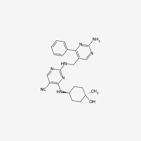 C[C@]1(O)CC[C@@H](Nc2nc(NCc3cnc(N)nc3-c3ccccc3)ncc2C#N)CC1